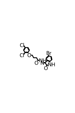 O=C(CCCOc1ccc(Cl)cc1Cl)N/N=C1/C(=O)Nc2ccc(Br)cc21